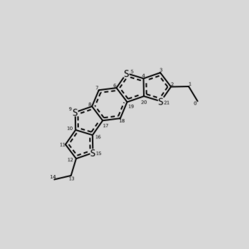 CCc1cc2sc3cc4sc5cc(CC)sc5c4cc3c2s1